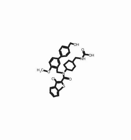 COc1ccc(-c2ccc(CO)cc2)cc1CN(C(=O)c1sc2ccccc2c1Cl)C1CCC(CNC(=O)O)CC1